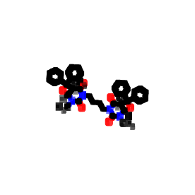 CN1C(=O)N(CCCCN2C(=O)N(C)[C@@H]3OC(c4ccccc4)(c4ccccc4)[C@]3(C)C2=O)C(=O)[C@@]2(C)[C@@H]1OC2(c1ccccc1)c1ccccc1